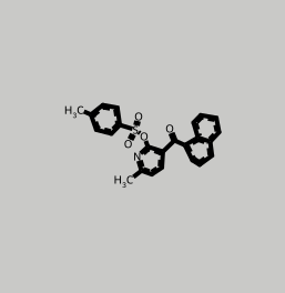 Cc1ccc(S(=O)(=O)Oc2nc(C)ccc2C(=O)c2cccc3ccccc23)cc1